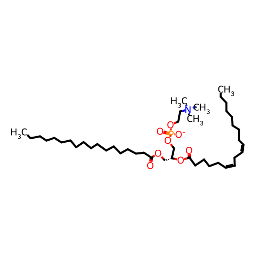 CCCCCCCC/C=C\C/C=C\CCCCC(=O)O[C@H](COC(=O)CCCCCCCCCCCCCCCCC)COP(=O)([O-])OCC[N+](C)(C)C